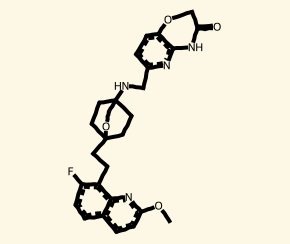 COc1ccc2ccc(F)c(CCC34CCC(NCc5ccc6c(n5)NC(=O)CO6)(CC3)CO4)c2n1